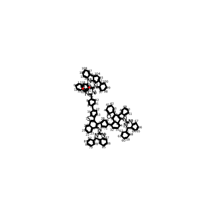 c1ccc(-c2nc(-c3ccc(-c4ccc5c(c4)sc4c6ccccc6c6c(c7ccc(-c8cccc9c8c8oc%10ccccc%10c8c8c%10ccccc%10n(-c%10nc(-c%11ccccc%11)c%11ccccc%11n%10)c98)cc7n6-c6nc(-c7ccccc7)c7ccccc7n6)c54)cc3)nc(-n3c4ccccc4c4ccc5c6ccccc6n(-c6ccccc6)c5c43)n2)cc1